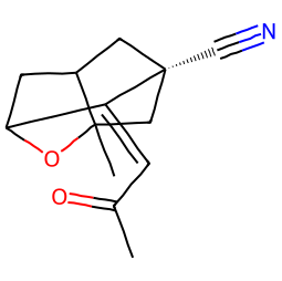 CC(=O)/C=C1\C2CC3C[C@@]1(C#N)CC3(C)O2